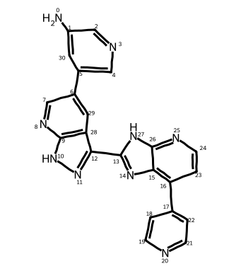 Nc1cncc(-c2cnc3[nH]nc(-c4nc5c(-c6ccncc6)ccnc5[nH]4)c3c2)c1